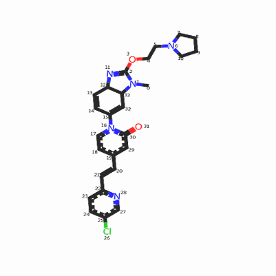 CN1C(OCCN2CCCC2)=NC2C=CC(n3ccc(/C=C/c4ccc(Cl)cn4)cc3=O)=CC21